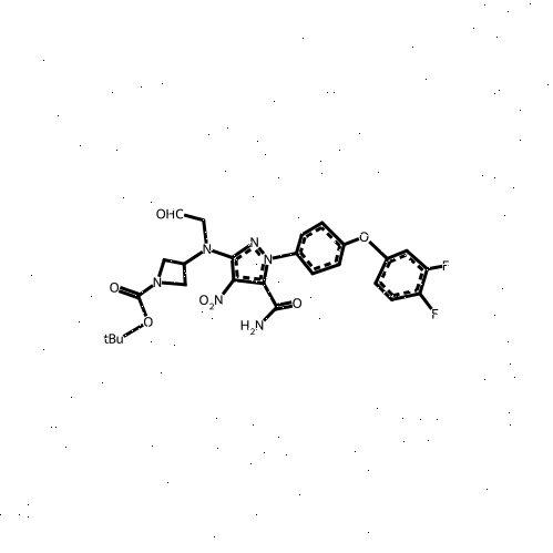 CC(C)(C)OC(=O)N1CC(N(CC=O)c2nn(-c3ccc(Oc4ccc(F)c(F)c4)cc3)c(C(N)=O)c2[N+](=O)[O-])C1